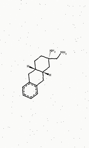 NC[C@]1(N)CC[C@H]2Cc3ccccc3C[C@H]2C1